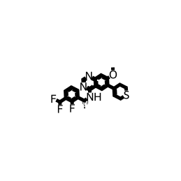 COc1cc2ncnc(N[C@H](C)c3cccc(C(F)F)c3F)c2cc1C1=CCSCC1